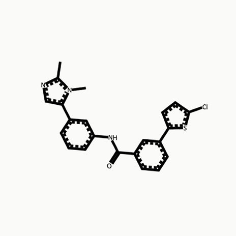 Cc1ncc(-c2cccc(NC(=O)c3cccc(-c4ccc(Cl)s4)c3)c2)n1C